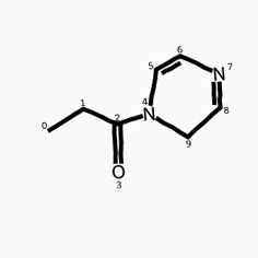 CCC(=O)N1C=CN=CC1